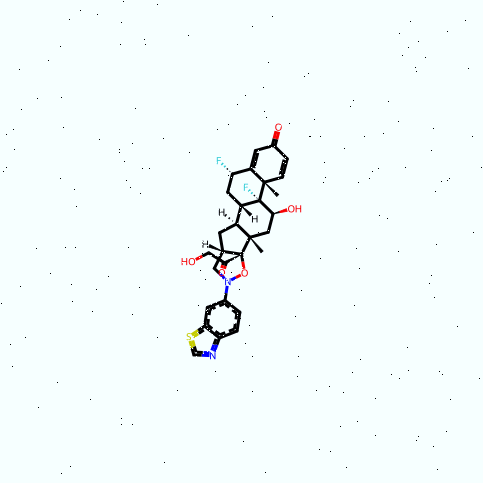 C[C@]12C=CC(=O)C=C1[C@@H](F)C[C@H]1[C@@H]3C[C@H]4CN(c5ccc6ncsc6c5)O[C@@]4(C(=O)CO)[C@@]3(C)C[C@H](O)[C@@]12F